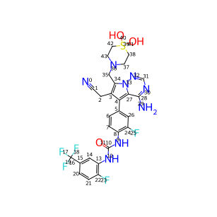 N#CCc1c(-c2ccc(NC(=O)Nc3cc(C(F)(F)F)ccc3F)c(F)c2)c2c(N)ncnn2c1CN1CCS(O)(O)CC1